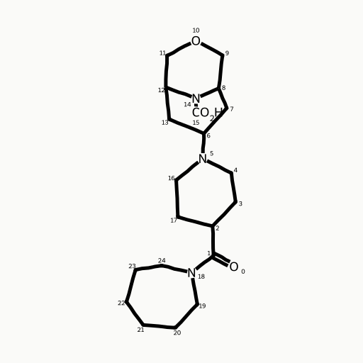 O=C(C1CCN(C2CC3COCC(C2)N3C(=O)O)CC1)N1CCCCCC1